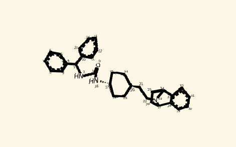 O=C(NC(c1ccccc1)c1ccccc1)N[C@H]1CC[C@H](CCN2C3CCC2c2ccccc23)CC1